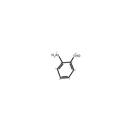 O=Cc1ccccc1[AsH2]